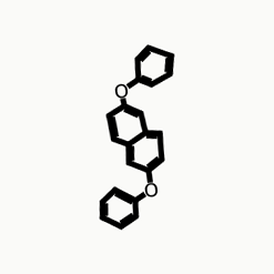 c1ccc(Oc2ccc3cc(Oc4ccccc4)ccc3c2)cc1